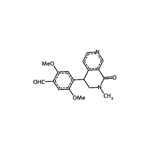 COc1cc(C2CN(C)C(=O)c3cnccc32)c(OC)cc1C=O